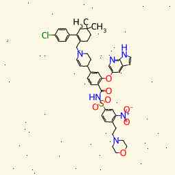 CC1(C)CCC(CN2C=CC(c3ccc(C(=O)NS(=O)(=O)c4ccc(CCN5CCOCC5)c([N+](=O)[O-])c4)c(Oc4cnc5[nH]ccc5c4)c3)CC2)=C(c2ccc(Cl)cc2)C1